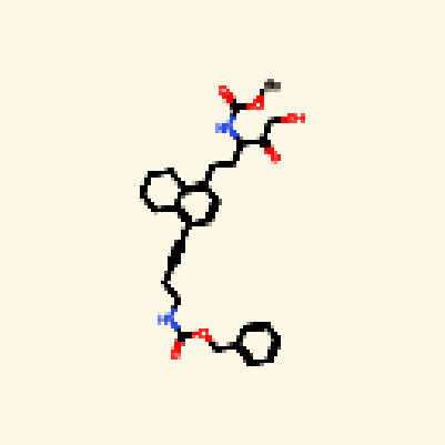 CC(C)(C)OC(=O)NC(CCc1ccc(C#CCCNC(=O)OCc2ccccc2)c2c1CCCC2)C(=O)CO